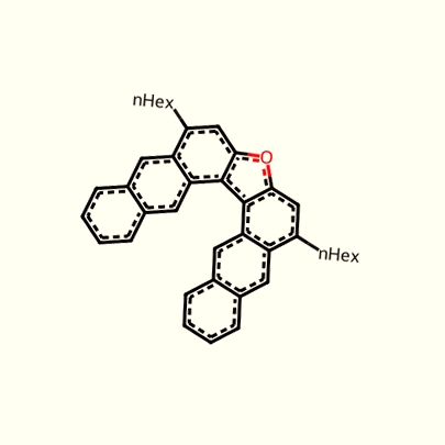 CCCCCCc1cc2oc3cc(CCCCCC)c4cc5ccccc5cc4c3c2c2cc3ccccc3cc12